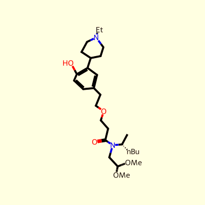 CCCC[C@@H](C)N(CC(OC)OC)C(=O)CCOCCc1ccc(O)c(C2CCN(CC)CC2)c1